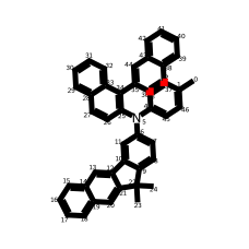 Cc1ccc(N(c2ccc3c(c2)-c2cc4ccccc4cc2C3(C)C)c2ccc3ccccc3c2-c2ccc3ccccc3c2)cc1